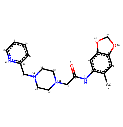 CC(=O)c1cc2c(cc1NC(=O)CN1CCN(Cc3ccccn3)CC1)OCO2